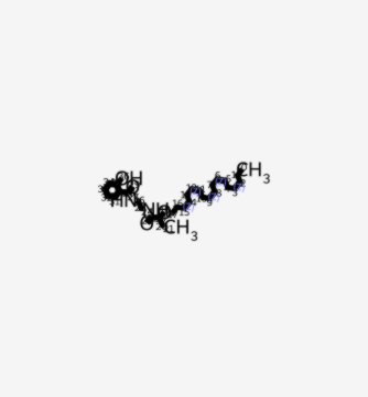 CC/C=C\C/C=C\C/C=C\C/C=C\C/C=C\CCOC(CC)C(=O)NCCNC(=O)c1ccccc1O